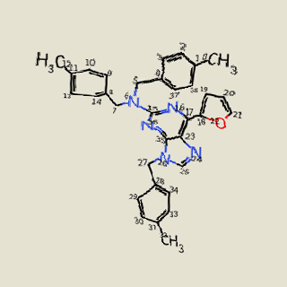 Cc1ccc(CN(Cc2ccc(C)cc2)c2nc(-c3ccco3)c3ncn(Cc4ccc(C)cc4)c3n2)cc1